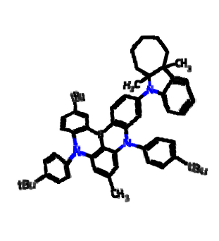 Cc1cc2c3c(c1)N(c1ccc(C(C)(C)C)cc1)c1cc(N4c5ccccc5C5(C)CCCCCC45C)ccc1B3c1cc(C(C)(C)C)ccc1N2c1ccc(C(C)(C)C)cc1